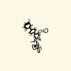 CN(O[SH](=O)=O)c1cc(-c2ccc(-c3ccccc3)cc2)c(C=O)cn1